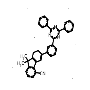 CC1(C)C2=C(C=C(c3cccc(-c4nc(-c5ccccc5)nc(-c5ccccc5)n4)c3)CC2)c2c(C#N)cccc21